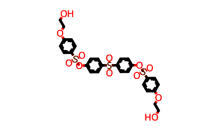 O=S(=O)(Oc1ccc(S(=O)(=O)c2ccc(OS(=O)(=O)c3ccc(OCCO)cc3)cc2)cc1)c1ccc(OCCO)cc1